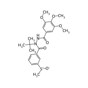 COc1cc(C(=O)NN(C(=O)c2cccc([S+](C)[O-])c2)C(C)(C)C)cc(OC)c1OC